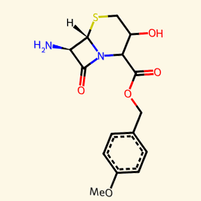 COc1ccc(COC(=O)C2C(O)CS[C@H]3[C@H](N)C(=O)N23)cc1